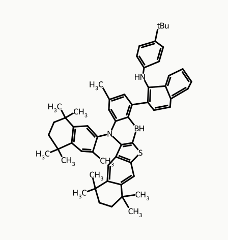 Cc1cc(-c2ccc3ccccc3c2Nc2ccc(C(C)(C)C)cc2)c2c(c1)N(c1cc3c(cc1C)C(C)(C)CCC3(C)C)c1c(sc3cc4c(cc13)C(C)(C)CCC4(C)C)B2